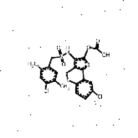 Cc1cc(CS(=O)(=O)Nc2c(OC(=O)O)sc3c2CSc2ccc(Cl)cc2-3)c(C)cc1Cl